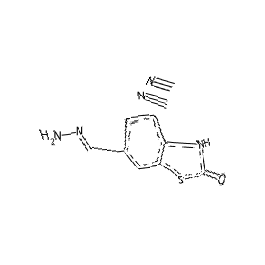 C#N.C#N.NN=Cc1ccc2[nH]c(=O)sc2c1